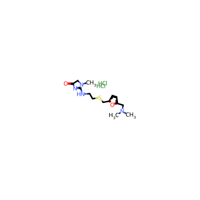 CN(C)Cc1ccc(CSCCNC2=NC(=O)CN2C)o1.Cl.Cl